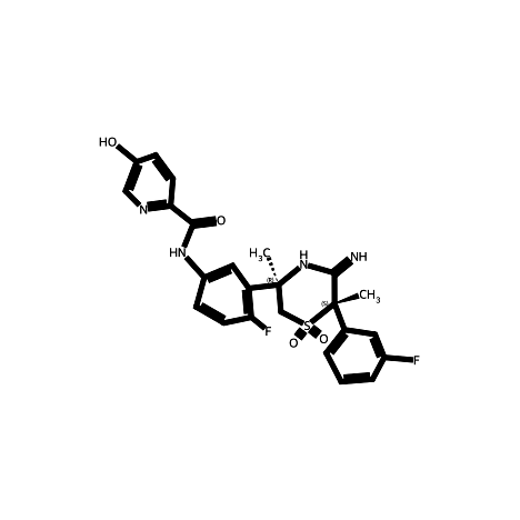 C[C@@]1(c2cc(NC(=O)c3ccc(O)cn3)ccc2F)CS(=O)(=O)[C@@](C)(c2cccc(F)c2)C(=N)N1